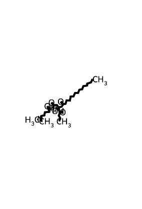 CCCCCCCCCCCCCCCC(=O)CC(CC(=O)P(O)C(=O)CCCCN(C)C)NC(=O)CCC